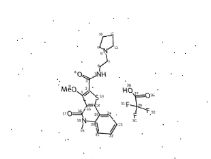 COc1c(C(=O)NCCN2CCCC2)sc2c1c(=O)n(C)c1ccccc21.O=C(O)C(F)(F)F